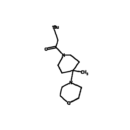 CC(C)(C)CC(=O)N1CCC(C)(N2CCOCC2)CC1